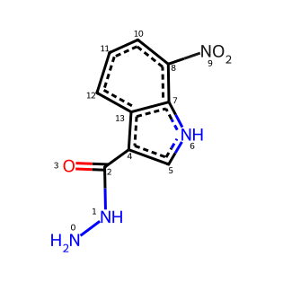 NNC(=O)c1c[nH]c2c([N+](=O)[O-])cccc12